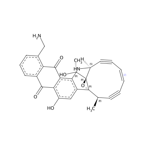 C[C@@H]1C#C/C=C\C#C[C@@H]2Nc3c(cc(O)c4c3C(=O)c3c(CN)cccc3C4=O)[C@]13O[C@@]23[C@@H](C)O